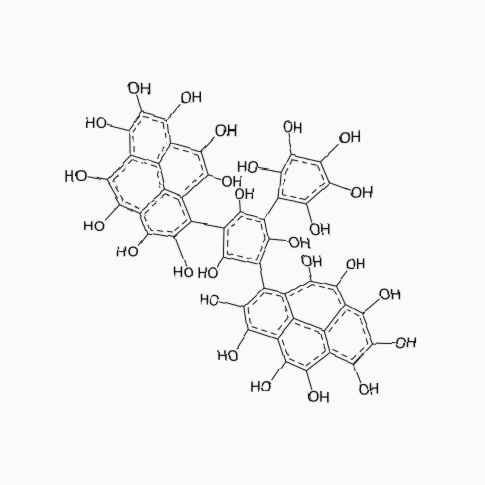 Oc1c(O)c(O)c(-c2c(O)c(-c3c(O)c(O)c4c(O)c(O)c5c(O)c(O)c(O)c6c(O)c(O)c3c4c56)c(O)c(-c3c(O)c(O)c4c(O)c(O)c5c(O)c(O)c(O)c6c(O)c(O)c3c4c56)c2O)c(O)c1O